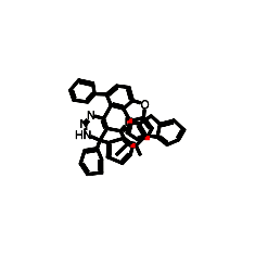 Cc1c(C2=C(c3c(-c4ccccc4)ccc4oc5ccccc5c34)N=NNC2(c2ccccc2)c2ccccc2)nc2c(c1C)-c1ccccc1C2